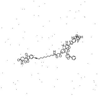 CC(C)(C)C(NC(=O)c1cc2cc(C(F)(F)P(=O)(O)O)ccc2s1)C(=O)N1CCN(C(=O)CC(=O)NCCCCCCCCCC#Cc2ccc3c(c2)C(=O)N(C2CCC(=O)NC2=O)C3=O)C[C@H]1C(=O)N1CCO[C@H](c2ccccc2)C1